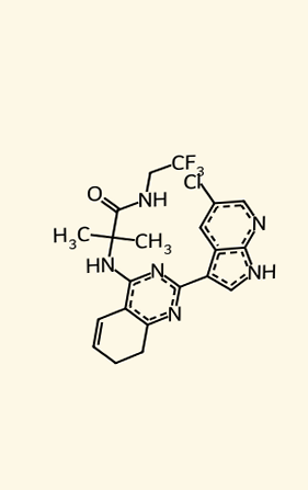 CC(C)(Nc1nc(-c2c[nH]c3ncc(Cl)cc23)nc2c1C=CCC2)C(=O)NCC(F)(F)F